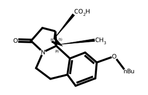 CCCCOc1ccc2c(c1)[C@@]13C[C@H](C)[C@@H](C(=O)O)C1CC(=O)N3CC2